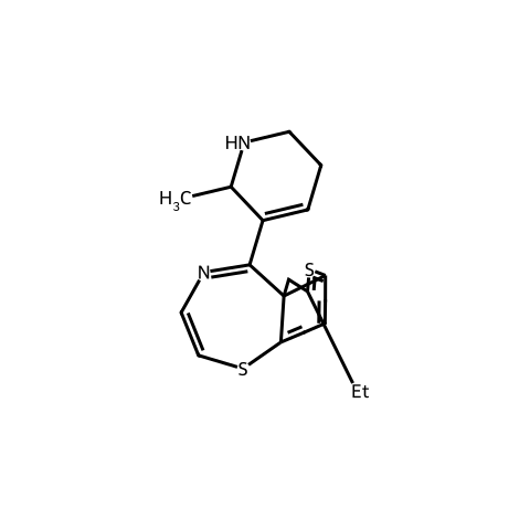 CCC1=S=C2C=CC=C3SC=CN=C(C4=CCCNC4C)C32C1